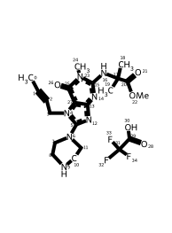 CC#CCn1c(N2CCNCC2)nc2nc(NC(C)(C)C(=O)OC)n(C)c(=O)c21.O=C(O)C(F)(F)F